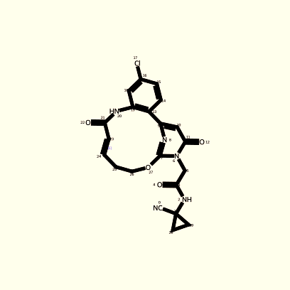 N#CC1(NC(=O)Cn2c3nc(cc2=O)-c2ccc(Cl)cc2NC(=O)/C=C/CCO3)CC1